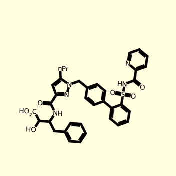 CCCc1cc(C(=O)NC(Cc2ccccc2)C(O)C(=O)O)nn1Cc1ccc(-c2ccccc2S(=O)(=O)NC(=O)c2ccccn2)cc1